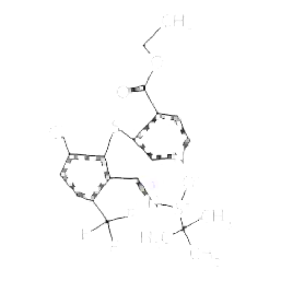 CCOC(=O)c1ccncc1Sc1c(Cl)ccc(C(F)(F)F)c1/C=N/[S+]([O-])C(C)(C)C